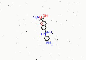 C[C@](CO)(ON)[C@H]1CCc2cc(C(=N)N[C@H]3CC[C@](C)(N)CC3)ccc2O1